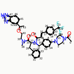 CC(=O)N1CCN(c2ccc(CN(C(=O)C=Cc3ccc(C(F)(F)F)cc3)C(Cc3ccccc3)C(=O)N(C)CCOC(C)c3ccc4[nH]nnc4c3)cc2)CC1